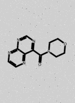 O=C(c1ncnc2nccnc12)N1CCOCC1